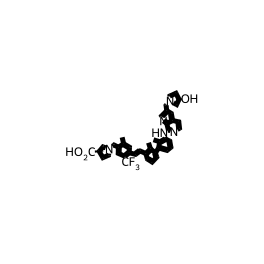 Cc1cc(/C=C/c2cccc(-c3cccc(Nc4nccc5cc(CN6CC[C@@H](O)C6)cnc45)c3C)c2C)c(C(F)(F)F)cc1CN1CC[C@@H](C(=O)O)C1